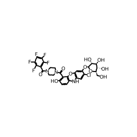 O=C(c1c(F)c(F)c(F)c(F)c1F)N1CCN(C(=O)c2c(O)ccc3c2Oc2cc(O[C@@H]4O[C@H](CO)[C@@H](O)[C@H](O)[C@H]4O)c(Cl)cc2N3)CC1